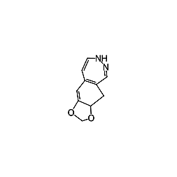 C1=CC2=C(C=NN1)CC1OCOC1=C2